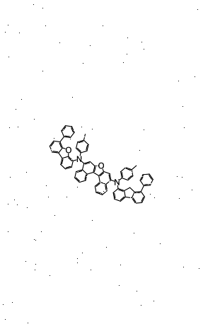 Cc1ccc(N(c2cccc3c2Cc2c(-c4ccccc4)cccc2-3)c2cc3oc4cc(N(c5ccc(C)cc5)c5cccc6c5oc5c(-c7ccccc7)cccc56)c5ccccc5c4c3c3ccccc23)cc1